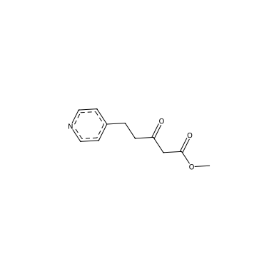 COC(=O)CC(=O)CCc1ccncc1